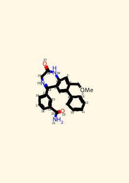 COCc1cc2c(cc1-c1ccccc1)C(c1cccc(C(N)=O)c1)=NCC(=O)N2